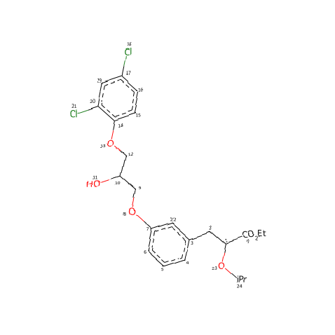 CCOC(=O)C(Cc1cccc(OCC(O)COc2ccc(Cl)cc2Cl)c1)OC(C)C